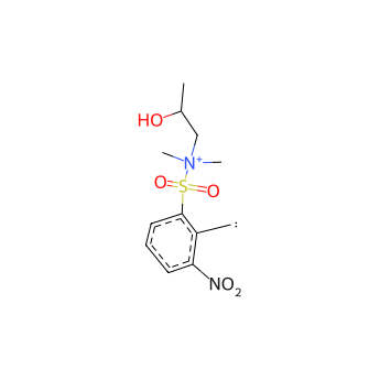 [CH]c1c([N+](=O)[O-])cccc1S(=O)(=O)[N+](C)(C)CC(C)O